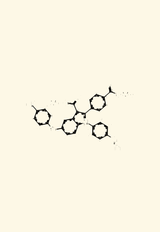 COC(=O)c1ccc(-c2c(C(=O)OC)c3cc(Oc4ccc(Cl)cc4)ccc3n2-c2ccc(OC(C)C)cc2)cc1